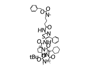 C[C@@H](C(=O)N[C@H](C(=O)N1CCC[C@H]1C(=O)Nc1sc(NC(=O)CCCN(C)C(=O)OCc2ccccc2)nc1-c1ccccc1)C1CCCCC1)N(C)C(=O)OC(C)(C)C